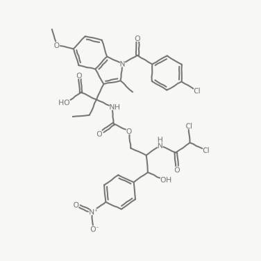 CCC(NC(=O)OCC(NC(=O)C(Cl)Cl)C(O)c1ccc([N+](=O)[O-])cc1)(C(=O)O)c1c(C)n(C(=O)c2ccc(Cl)cc2)c2ccc(OC)cc12